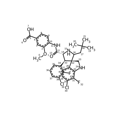 COc1cc(C(=O)O)ccc1NC(=O)[C@@H]1NC(CC(C)(C)C)[C@@]2(CNc3c2ccc(Cl)c3F)[C@H]1c1cccc(Cl)c1F